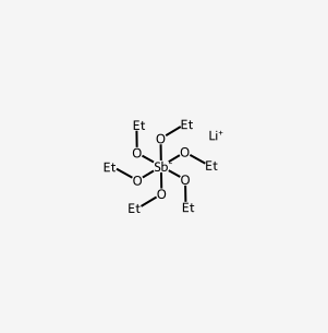 CC[O][Sb-]([O]CC)([O]CC)([O]CC)([O]CC)[O]CC.[Li+]